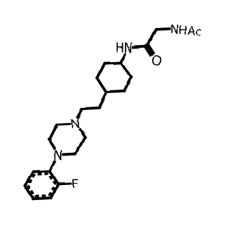 CC(=O)NCC(=O)NC1CCC(CCN2CCN(c3ccccc3F)CC2)CC1